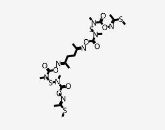 CS/C(C)=N/OC(=O)N(C)SN(C)C(=O)O/N=C(\C)CC/C(C)=N/OC(=O)N(C)SN(C)C(=O)O/N=C(\C)SC